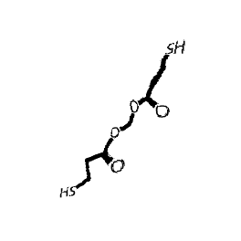 O=C(CCS)OCOC(=O)CCS